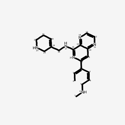 C/C=C(\C=C/CNC)c1cc2nccnc2c(NCC2=CCCNC2)n1